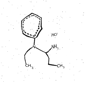 CCC(N)N(CC)c1ccccc1.Cl